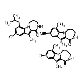 Cc1c2n(c3c(C)cc(C#N)cc13)CCCNC2=O.Cc1c2n(c3c(C)cc(Cl)cc13)CCCNC2=O.Cc1c2n(c3c(CC(C)C)cc(Cl)cc13)CCCNC2=O